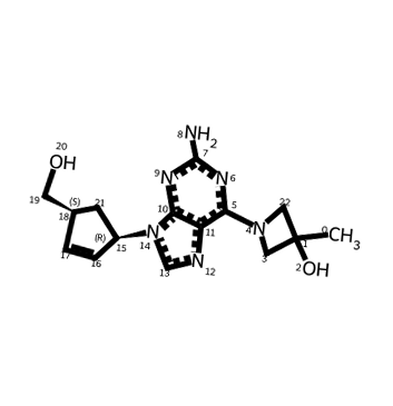 CC1(O)CN(c2nc(N)nc3c2ncn3[C@H]2C=C[C@@H](CO)C2)C1